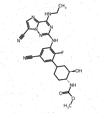 CCNc1nc(Nc2cc(C#N)cc(C3CC[C@@H](NC(=O)OC)[C@H](O)C3)c2F)nn2c(C#N)cnc12